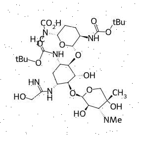 CN[C@@H]1[C@@H](O)[C@@H](O[C@@H]2[C@@H](O)[C@H](O[C@@H]3O[C@H](N(C)C(=O)O)CC[C@H]3NC(=O)OC(C)(C)C)[C@@H](NC(=O)OC(C)(C)C)C[C@H]2NC(=N)CO)OC[C@]1(C)O